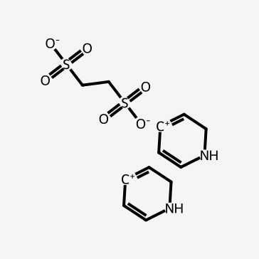 O=S(=O)([O-])CCS(=O)(=O)[O-].[C+]1=CCNC=C1.[C+]1=CCNC=C1